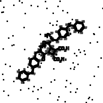 CCCN(Cc1ccc(Sc2ccccc2)cc1)C(=O)[C@H]1[C@@H](C(=O)O)[C@H](C(=O)O)[C@@H]1C(=O)N(CCC)Cc1ccc(Sc2ccccc2)cc1